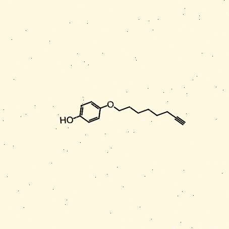 C#CCCCCCCOc1ccc(O)cc1